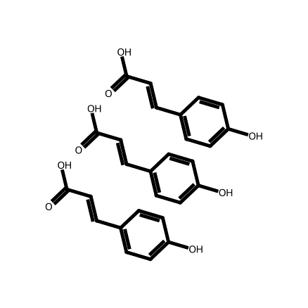 O=C(O)/C=C/c1ccc(O)cc1.O=C(O)/C=C/c1ccc(O)cc1.O=C(O)/C=C/c1ccc(O)cc1